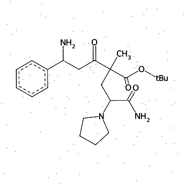 CC(C)(C)OC(=O)C(C)(CC(C(N)=O)N1CCCC1)C(=O)CC(N)c1ccccc1